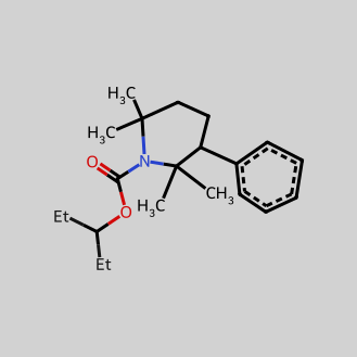 CCC(CC)OC(=O)N1C(C)(C)CCC(c2ccccc2)C1(C)C